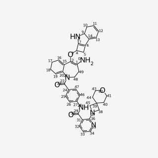 NC1=C(OC2CC3=C2NC2CC=CC=C32)C2=CCCC=C2N(C(=O)c2ccc(NC(=O)c3cccnc3N3CC4(CCOCC4)C3)cc2)CC1